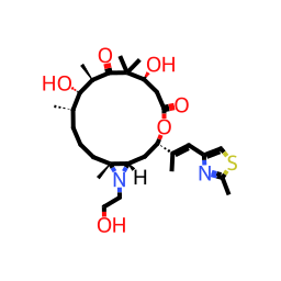 C/C(=C\c1csc(C)n1)[C@@H]1C[C@@H]2N(CCO)[C@]2(C)CCC[C@H](C)[C@H](O)[C@@H](C)C(=O)C(C)(C)[C@@H](O)CC(=O)O1